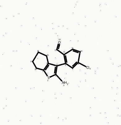 Nc1sc2c(c1-c1cc(Cl)ccc1C=O)CCCC2